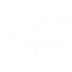 CC(=O)O.CC(=O)O.O=C(CC(O)CO)CC(O)CO